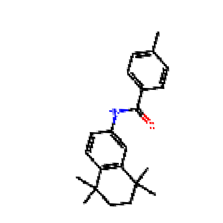 Cc1ccc(C(=O)Nc2ccc3c(c2)C(C)(C)CCC3(C)C)cc1